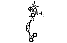 CCSC(SCC)[C@@H]1CCCN1C(=O)c1cc(C)c(OCCCN2CCN(CCCn3c4ccccc4c4ccccc43)CC2)cc1N